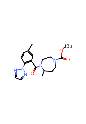 Cc1ccc(-n2nccn2)c(C(=O)N2CCN(C(=O)OC(C)(C)C)CCC2C)c1